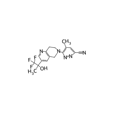 Cc1cc(C#N)nnc1N1CCc2ncc(C(C)(O)C(F)(F)F)cc2C1